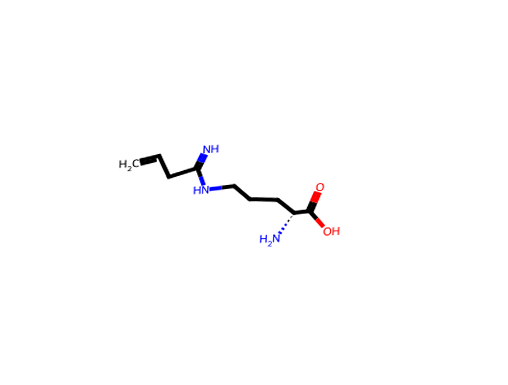 C=CCC(=N)NCCC[C@@H](N)C(=O)O